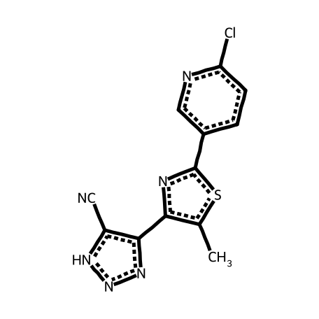 Cc1sc(-c2ccc(Cl)nc2)nc1-c1nn[nH]c1C#N